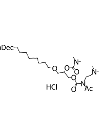 CCCCCCCCCCCCCCCCCCOCC(COC(=O)N(CCN(C)C)C(C)=O)OC(=O)N(C)C.Cl